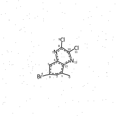 Cc1cc(Br)cc2nc(Cl)c(Cl)nc12